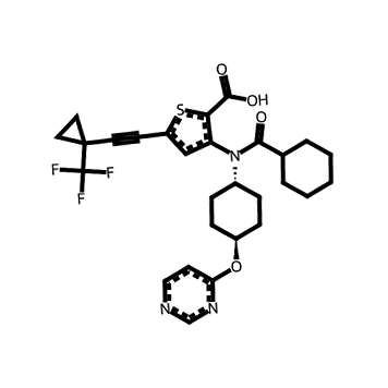 O=C(O)c1sc(C#CC2(C(F)(F)F)CC2)cc1N(C(=O)C1CCCCC1)[C@H]1CC[C@H](Oc2ccncn2)CC1